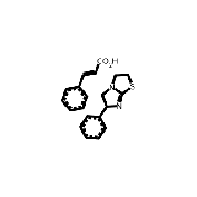 O=C(O)C=Cc1ccccc1.c1ccc(C2CN3CCSC3=N2)cc1